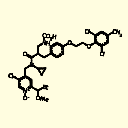 CCC(OC)c1cc(CN(C(=O)C(CNC(=O)O)Cc2ccc(OCCOc3c(Cl)cc(C)cc3Cl)cc2)C2CC2)c(Cl)c[n+]1[O-]